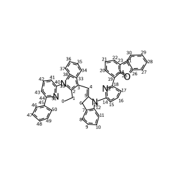 CCc1c(/C=C2\Cc3ccccc3N2c2cccc(-c3cccc4c3oc3ccccc34)n2)c2ccccc2n1-c1cccc(-c2ccccc2)n1